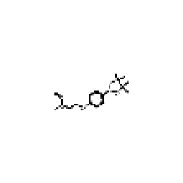 C=N[C@H](C)CCOc1ccc(B2OC(C)(C)C(C)(C)O2)cc1